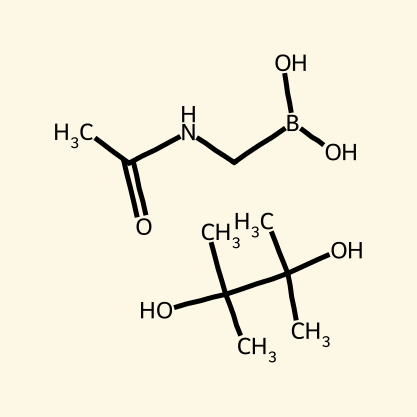 CC(=O)NCB(O)O.CC(C)(O)C(C)(C)O